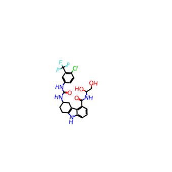 O=C(Nc1ccc(Cl)c(C(F)(F)F)c1)NC1CCc2[nH]c3cccc(C(=O)NC(O)CO)c3c2C1